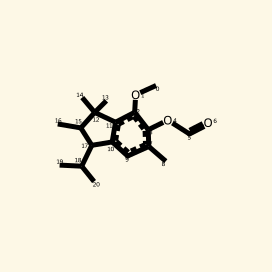 COc1c(OC=O)c(C)cc2c1C(C)(C)C(C)C2C(C)C